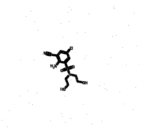 N#Cc1cc(Cl)cc(S(=O)(=O)N(CCO)CCO)c1N